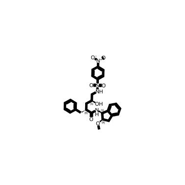 CO[C@@H]1Cc2ccccc2[C@@H]1NC(=O)[C@H](Cc1ccccc1)C[C@H](O)CNS(=O)(=O)c1ccc([N+](=O)[O-])cc1